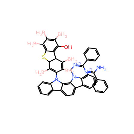 BC1=C(B)C2c3c(O)c(B)c(B)c(B)c3SC2C(B)=C1n1c2ccccc2c2ccc3c4ccccc4n(C/N=C(\N=C(/N)c4ccccc4)c4ccccc4)c3c21